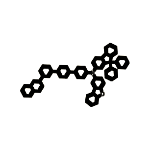 c1ccc(C2(c3ccccc3)c3ccccc3-c3ccc(N(c4ccc(-c5ccc(-c6cccc(-c7ccc8ccccc8c7)c6)cc5)cc4)c4ccc5oc6ccccc6c5c4)cc32)cc1